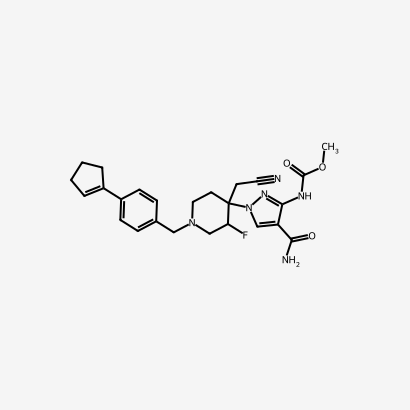 COC(=O)Nc1nn(C2(CC#N)CCN(Cc3ccc(C4=CCCC4)cc3)CC2F)cc1C(N)=O